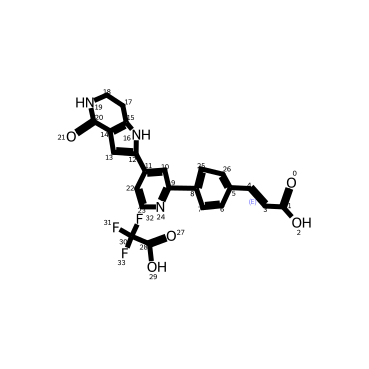 O=C(O)/C=C/c1ccc(-c2cc(-c3cc4c([nH]3)CCNC4=O)ccn2)cc1.O=C(O)C(F)(F)F